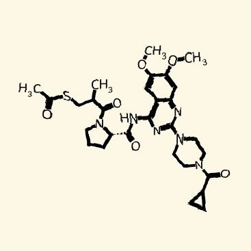 COc1cc2nc(N3CCN(C(=O)C4CC4)CC3)nc(NC(=O)[C@@H]3CCCN3C(=O)C(C)CSC(C)=O)c2cc1OC